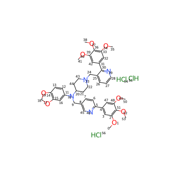 COc1cc(-c2ccc(CN(c3ccc4c(c3)OCO4)C3CCN(Cc4cccnc4-c4cc(OC)c(OC)c(OC)c4)CC3)cn2)cc(OC)c1OC.Cl.Cl.Cl